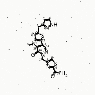 Cn1c2nc(Cc3cc[nH]n3)sc2c2cnn(Cc3csc(C(=O)P)n3)c(=O)c21